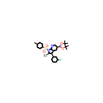 CCc1c(-c2cccc(F)c2)c2cc(B3OC(C)(C)C(C)(C)O3)cnc2n1S(=O)(=O)c1ccc(C)cc1